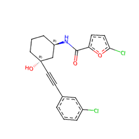 O=C(N[C@@H]1CCC[C@](O)(C#Cc2cccc(Cl)c2)C1)c1ccc(Cl)o1